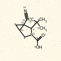 CC(C)(C)C1N(C(=O)O)CC2CC21C#N